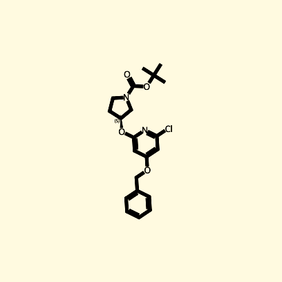 CC(C)(C)OC(=O)N1CC[C@H](Oc2cc(OCc3ccccc3)cc(Cl)n2)C1